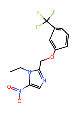 CCn1c([N+](=O)[O-])cnc1COc1cccc(C(F)(F)F)c1